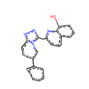 Oc1cccc2ccc(-c3nnc4ccc(-c5ccccc5)cn34)nc12